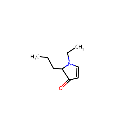 CCCC1C(=O)C=CN1CC